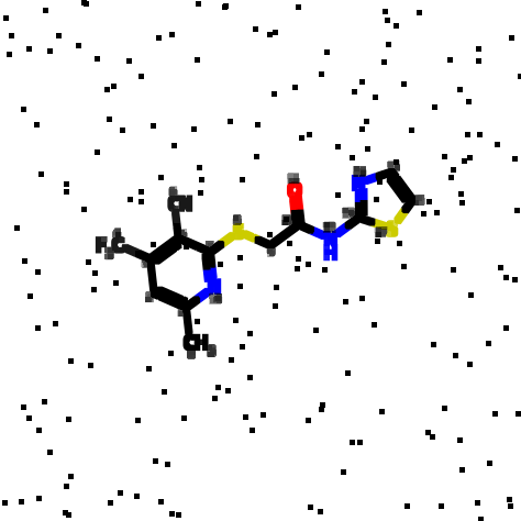 Cc1cc(C(F)(F)F)c(C#N)c(SCC(=O)Nc2nccs2)n1